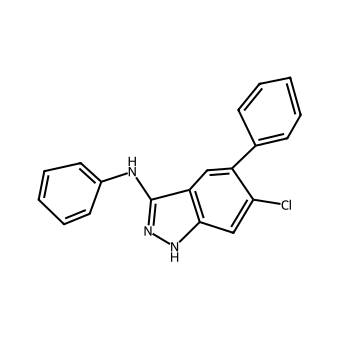 Clc1cc2[nH]nc(Nc3ccccc3)c2cc1-c1ccccc1